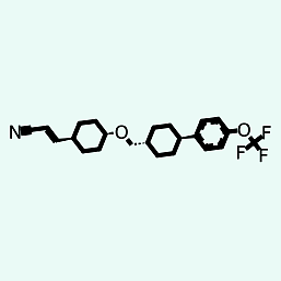 N#C/C=C/[C@H]1CC[C@H](OC[C@H]2CC[C@H](c3ccc(OC(F)(F)F)cc3)CC2)CC1